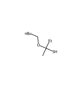 CCCCCOC(C)(S)CC